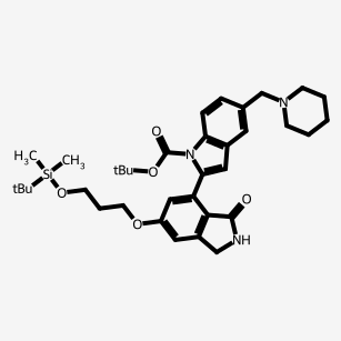 CC(C)(C)OC(=O)n1c(-c2cc(OCCCO[Si](C)(C)C(C)(C)C)cc3c2C(=O)NC3)cc2cc(CN3CCCCC3)ccc21